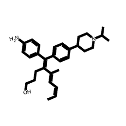 C\C=C/C=C(C)/C(CCCO)=C(/c1ccc(N)cc1)c1ccc(C2CCN(C(C)C)CC2)cc1